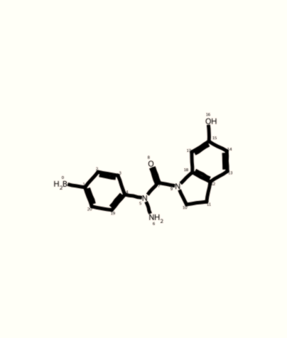 Bc1ccc(N(N)C(=O)N2CCc3ccc(O)cc32)cc1